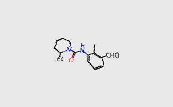 CCC1CCCCN1C(=O)Nc1cccc(C=O)c1C